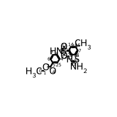 CCOC(=O)c1ccc(NS(=O)(=O)c2cc(C)cc3sc(N)nc23)cc1